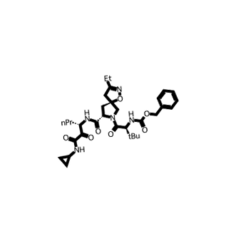 CCC[C@H](NC(=O)[C@@H]1C[C@]2(CC(CC)=NO2)CN1C(=O)[C@@H](NC(=O)OCc1ccccc1)C(C)(C)C)C(=O)C(=O)NC1CC1